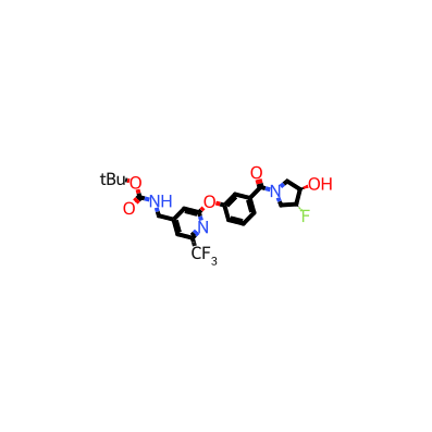 CC(C)(C)OC(=O)NCc1cc(Oc2cccc(C(=O)N3C[C@@H](O)[C@H](F)C3)c2)nc(C(F)(F)F)c1